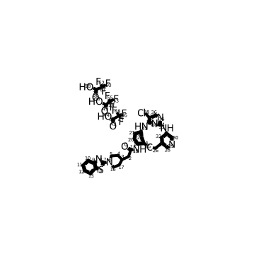 O=C(CC1CCN(c2nc3ccccc3s2)CC1)Nc1ccc2cc1CCc1cncc(c1)Nc1ncc(Cl)c(n1)N2.O=C(O)C(F)(F)F.O=C(O)C(F)(F)F.O=C(O)C(F)(F)F